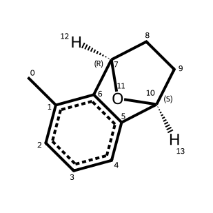 Cc1cccc2c1[C@H]1CC[C@@H]2O1